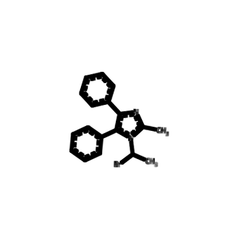 Cc1nc(-c2ccccc2)c(-c2ccccc2)n1C(C)Br